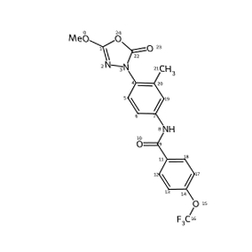 COc1nn(-c2ccc(NC(=O)c3ccc(OC(F)(F)F)cc3)cc2C)c(=O)o1